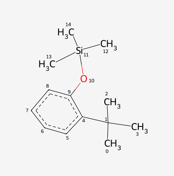 CC(C)(C)c1ccccc1O[Si](C)(C)C